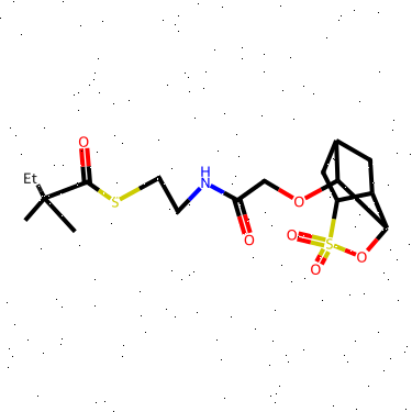 CCC(C)(C)C(=O)SCCNC(=O)COC1C2CC3C1OS(=O)(=O)C3C2